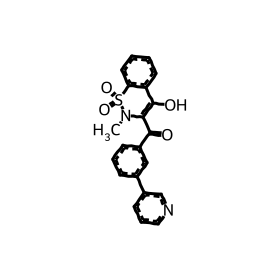 CN1C(C(=O)c2cccc(-c3cccnc3)c2)=C(O)c2ccccc2S1(=O)=O